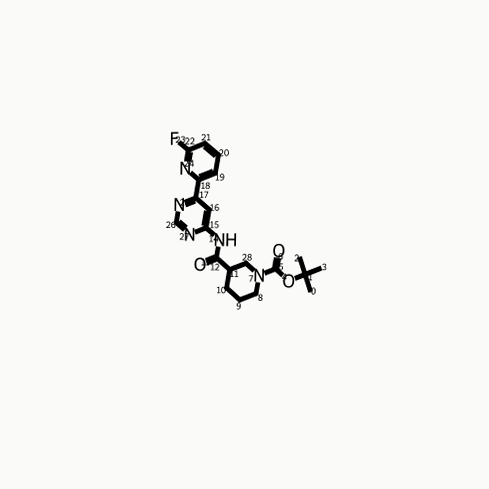 CC(C)(C)OC(=O)N1CCCC(C(=O)Nc2cc(-c3cccc(F)n3)ncn2)C1